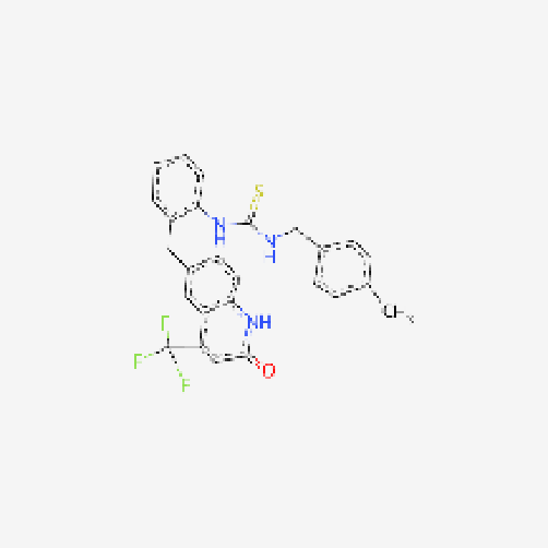 Cc1ccc(CNC(=S)Nc2ccccc2Cc2ccc3[nH]c(=O)cc(C(F)(F)F)c3c2)cc1